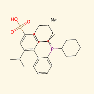 CC(C)c1cc(S(=O)(=O)O)cc(C(C)C)c1-c1ccccc1P(C1CCCCC1)C1CCCCC1.[Na]